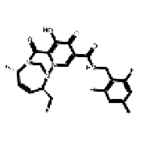 Cc1cc(F)c(CNC(=O)c2cn3c(c(O)c2=O)C(=O)N2CN3[C@@H](CF)C=C[C@@H]2C)c(F)c1